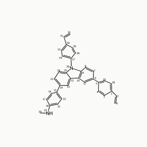 C=Cc1ccc(-c2ccc3c(c2)c2cc(-c4ccc(NC)cc4)ccc2n3-c2ccc(C=C)cc2)cc1